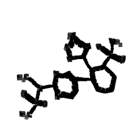 CN(c1ncc(-c2cccc(S(N)(=O)=O)c2-c2nn[nH]n2)cn1)S(C)(=O)=O